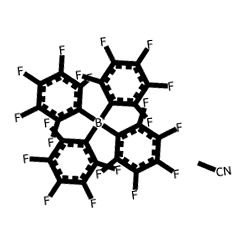 CC#N.Fc1c(F)c(F)c([B-](c2c(F)c(F)c(F)c(F)c2F)(c2c(F)c(F)c(F)c(F)c2F)c2c(F)c(F)c(F)c(F)c2F)c(F)c1F